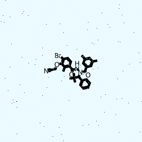 Cc1cc(C)cc(C(=O)N(NC(=O)c2ccc(Br)c(OCC#N)c2C)C(c2ccccc2)C(C)(C)C)c1